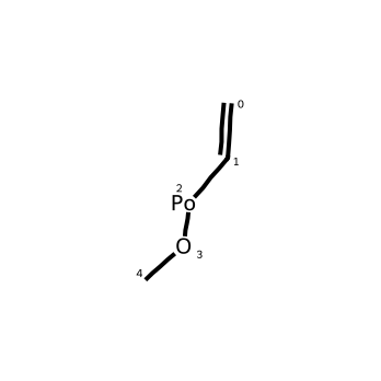 C=[CH][Po][O]C